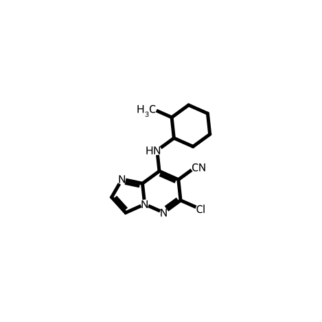 CC1CCCCC1Nc1c(C#N)c(Cl)nn2ccnc12